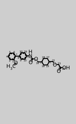 COc1ccccc1-c1ccc(NC(=O)OCC2CCC(COCC(=O)O)CC2)cc1